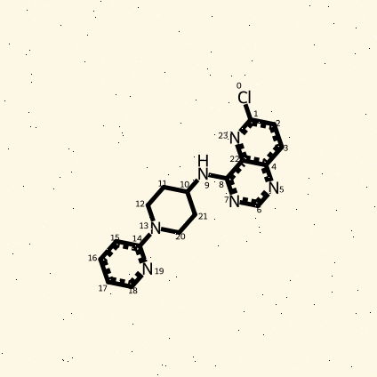 Clc1ccc2ncnc(NC3CCN(c4ccccn4)CC3)c2n1